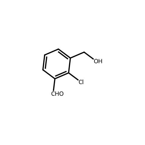 O=Cc1cccc(CO)c1Cl